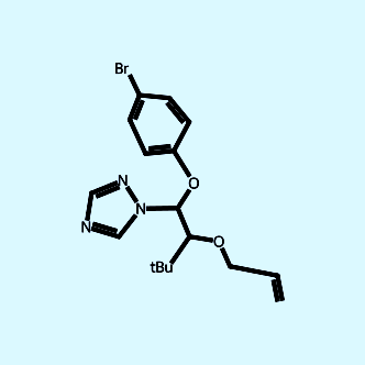 C=CCOC(C(Oc1ccc(Br)cc1)n1cncn1)C(C)(C)C